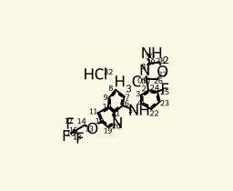 C[C@@]1(c2cc(Nc3cccc4cc(OCC(F)(F)F)cnc34)ccc2F)COCC(N)=N1.Cl